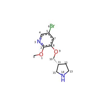 COc1ncc(Br)cc1OC[C@@H]1CCNC1